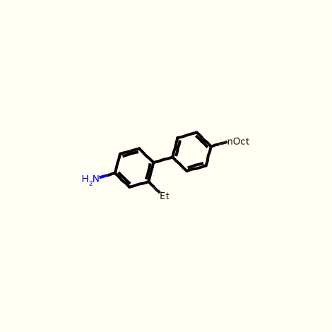 CCCCCCCCc1ccc(-c2ccc(N)cc2CC)cc1